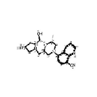 C[C@@H]1CN(c2ccc(C#N)c3ncccc23)C[C@@H](CN2C[C@H](O)C[C@H]2CO)O1